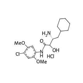 COc1cc(NC(=O)C(O)[C@H](N)CC2CCCCC2)c(OC)cc1Cl.Cl